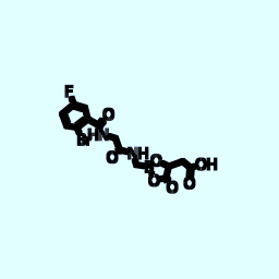 O=C(O)CC1OB(CNC(=O)CNC(=O)c2cc(F)ccc2Br)OC1=O